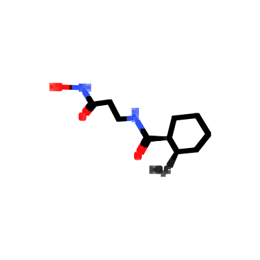 O=C(CCNC(=O)[C@H]1CCCC[C@H]1C(=O)O)NO